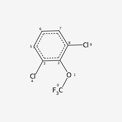 FC(F)(F)Oc1c(Cl)[c]ccc1Cl